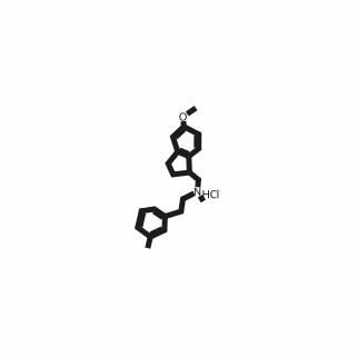 COc1ccc2c(c1)CCC2CN(C)CCc1cccc(C)c1.Cl